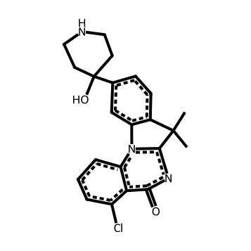 CC1(C)c2ccc(C3(O)CCNCC3)cc2-n2c1nc(=O)c1c(Cl)cccc12